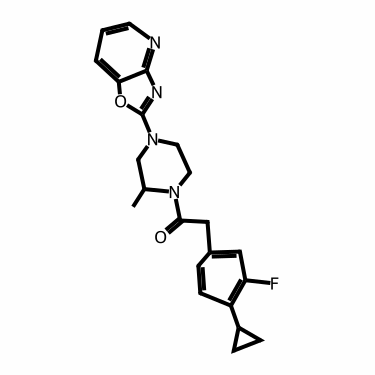 CC1CN(c2nc3ncccc3o2)CCN1C(=O)Cc1ccc(C2CC2)c(F)c1